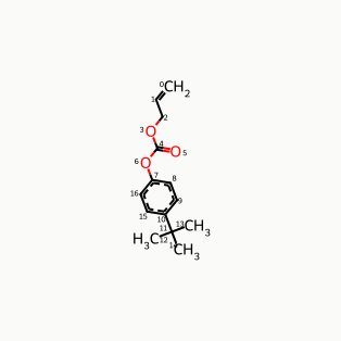 C=CCOC(=O)Oc1ccc(C(C)(C)C)cc1